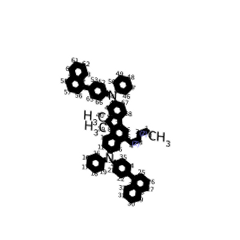 C/C=C\C=C/c1cc2c(c3ccc(N(c4ccccc4)c4ccc(-c5cccc6ccccc56)cc4)cc13)C(C)(C)c1cc(N(c3ccccc3)c3ccc(-c4cccc5ccccc45)cc3)ccc1-2